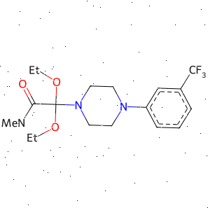 CCOC(OCC)(C(=O)NC)N1CCN(c2cccc(C(F)(F)F)c2)CC1